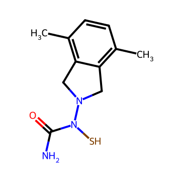 Cc1ccc(C)c2c1CN(N(S)C(N)=O)C2